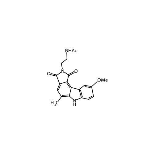 COc1ccc2[nH]c3c(C)cc4c(c3c2c1)C(=O)N(CCNC(C)=O)C4=O